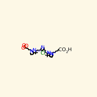 CN1CC(/C=C/C2=Nc3c(ccc[n+]3CCCCCC(=O)O)C2(C)C)=C(Cl)C(=C/C=C2/N=C3C(=CC=CN3CCCCS(=O)(=O)[O-])C2(C)C)/C1